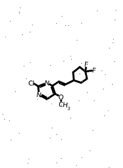 COc1cnc(Cl)nc1C=CC1CCC(F)(F)CC1